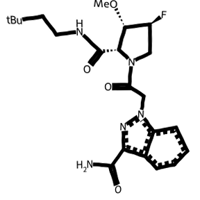 CO[C@H]1[C@@H](C(=O)NCCC(C)(C)C)N(C(=O)Cn2nc(C(N)=O)c3ccccc32)C[C@@H]1F